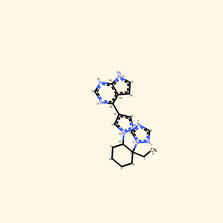 N#CCC1(n2cncn2)CCCCC1n1cc(-c2ncnc3[nH]ccc23)cn1